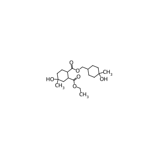 CCOC(=O)C1CC(C)(O)CCC1C(=O)OCC1CCC(C)(O)CC1